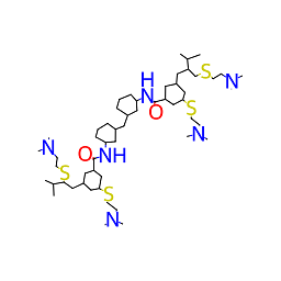 CC(C)C(CSCCN(C)C)CC1CC(SCCN(C)C)CC(C(=O)NC2CCCC(CC3CCCC(NC(=O)C4CC(CC(SCCN(C)C)C(C)C)CC(SCCN(C)C)C4)C3)C2)C1